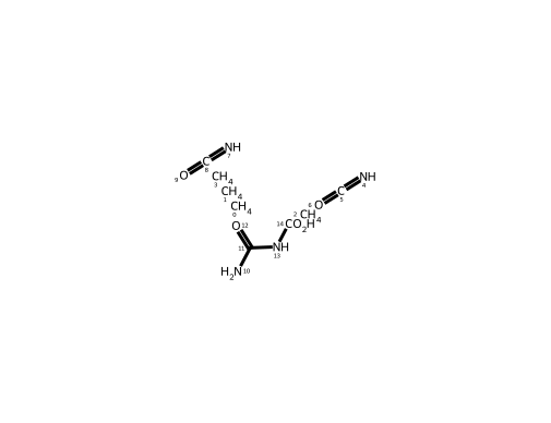 C.C.C.C.N=C=O.N=C=O.NC(=O)NC(=O)O